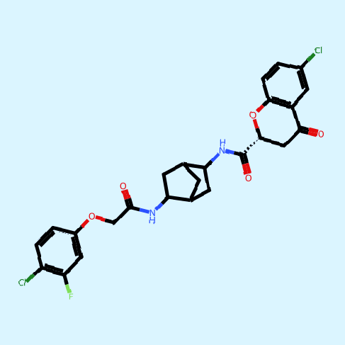 O=C(COc1ccc(Cl)c(F)c1)NC1CC2CC1CC2NC(=O)[C@H]1CC(=O)c2cc(Cl)ccc2O1